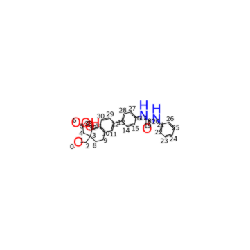 COCC1(CC(=O)O)CCc2cc(-c3ccc(NC(=O)Nc4ccccc4)cc3)ccc2C1=O